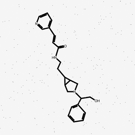 O=C(/C=C/c1cccnc1)NCCC1C2CN(C(CO)c3ccccc3)CC12